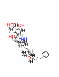 [2H]c1c([2H])c(C([2H])(O)C([2H])([2H])NC([2H])([2H])C([2H])([2H])CCC([2H])([2H])C([2H])([2H])OC([2H])([2H])CCCc2ccccc2)c([2H])c(C([2H])([2H])O)c1O